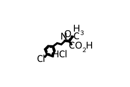 Cc1onc(CCc2ccc(Cl)cc2)c1C(=O)O.Cl